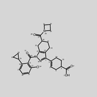 O=C(O)C1CC=C(c2nn(C(=O)c3c(Cl)cccc3C3CC3)c3c2CCC(C(=O)N2CCC2)C3)CC1